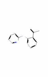 C=C(C)c1ccccc1Nc1ccccn1